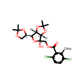 COc1c(Cl)ccc(Cl)c1C(=O)OC[C@]1(O)OC([C@H]2COC(C)(C)O2)[C@@H]2OC(C)(C)O[C@@H]21